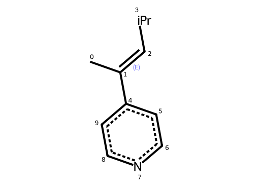 C/C(=C\C(C)C)c1ccncc1